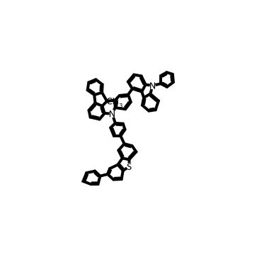 CC12c3ccccc3-c3cccc(c31)N(c1ccc(-c3ccc4sc5ccc(-c6ccccc6)cc5c4c3)cc1)c1ccc(-c3cccc4c3c3ccccc3n4-c3ccccc3)cc12